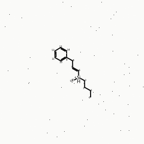 CCCC[SiH](F)C=CCc1ccccc1